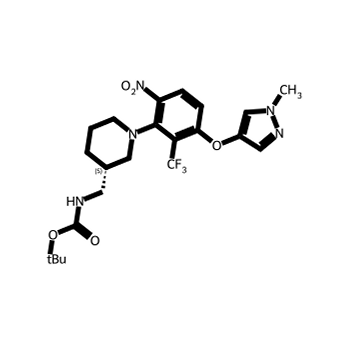 Cn1cc(Oc2ccc([N+](=O)[O-])c(N3CCC[C@@H](CNC(=O)OC(C)(C)C)C3)c2C(F)(F)F)cn1